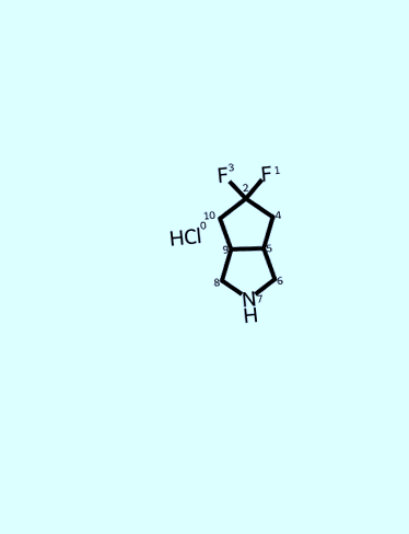 Cl.FC1(F)CC2CNCC2C1